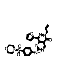 C=CCn1nc(-c2ccco2)c2nc(Nc3ccc(S(=O)(=O)N4CCOCC4)cc3)ncc2c1=O